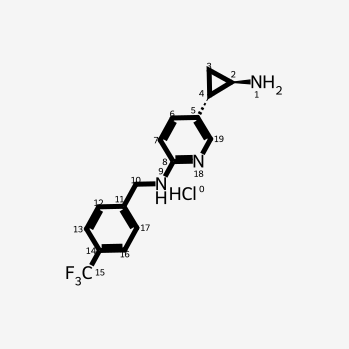 Cl.N[C@@H]1C[C@H]1c1ccc(NCc2ccc(C(F)(F)F)cc2)nc1